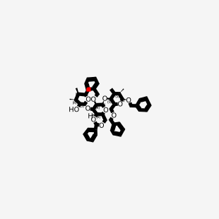 CCC1O[C@@H](OC2[C@@H]3OC(c4ccccc4)OCC3O[C@@H](O[C@@H]3C(COCc4ccccc4)O[C@@H](OCc4ccccc4)[C@@H](C)C3C)[C@@H]2OCc2ccccc2)C(O)[C@H](C)[C@H]1C